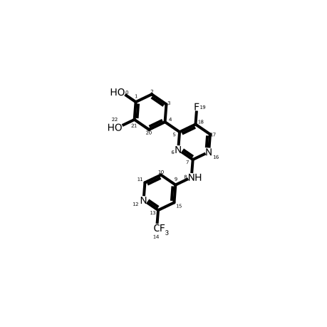 Oc1ccc(-c2nc(Nc3ccnc(C(F)(F)F)c3)ncc2F)cc1O